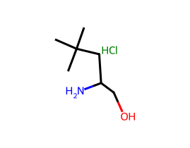 CC(C)(C)CC(N)CO.Cl